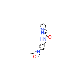 CC1CN(c2ccc(CNC(=O)c3cc4ccccn4n3)cc2)CCO1